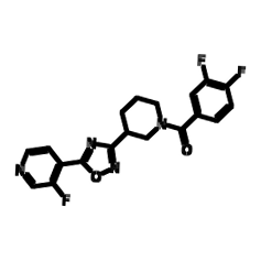 O=C(c1ccc(F)c(F)c1)N1CCCC(c2noc(-c3ccncc3F)n2)C1